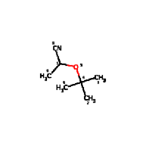 CC(C#N)OC(C)(C)C